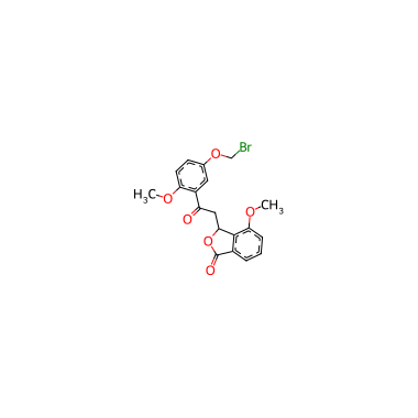 COc1ccc(OCBr)cc1C(=O)CC1OC(=O)c2cccc(OC)c21